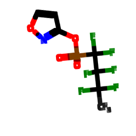 O=S(=O)(Oc1ccon1)C(F)(F)C(F)(F)C(F)(F)C(F)(F)F